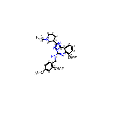 COc1ccc(CNc2nc3c(OC)cccc3c3nc(C4CCCN(CC(F)(F)F)C4)nn23)c(OC)c1